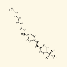 CS(=O)(=O)c1ccc(N=Nc2ccc(NCCCCCCCO)cc2)cc1